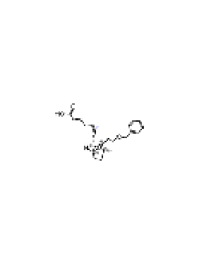 O=C(O)CCC/C=C\C[C@@H]1[C@@H](CCOCc2ccccc2)[C@@H]2CC[C@H]1O2